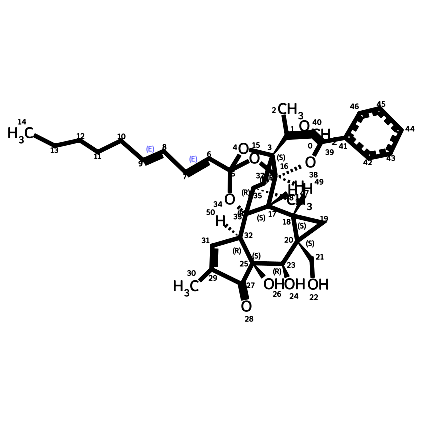 C=C(C)[C@@]12OC3(/C=C/C=C/CCCCC)O[C@@H]1[C@@H]1[C@@H]4C[C@]4(CO)[C@@H](O)[C@]4(O)C(=O)C(C)=C[C@H]4[C@@]1(O3)[C@H](C)[C@H]2OC(=O)c1ccccc1